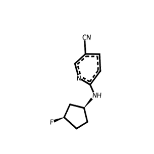 N#Cc1ccc(N[C@H]2CC[C@@H](F)C2)nc1